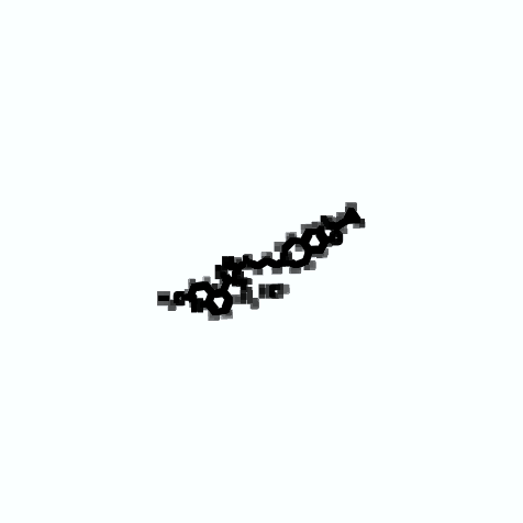 Cc1ccc2c(-c3nnc(SCCCN4CCc5cc6nc(C7CC7)oc6cc5CC4)n3C)cccc2n1.Cl